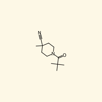 CC1(C#N)CCN(C(=O)C(C)(C)C)CC1